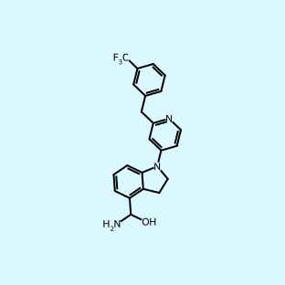 NC(O)c1cccc2c1CCN2c1ccnc(Cc2cccc(C(F)(F)F)c2)c1